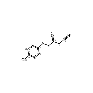 N#CCC(=O)CCc1ccc(Cl)cc1